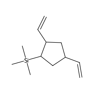 C=CC1CC(C=C)C([Si](C)(C)C)C1